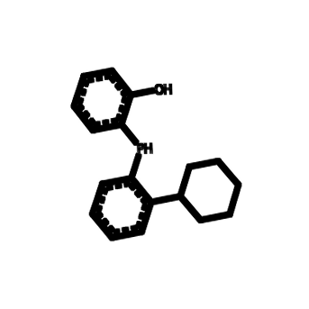 Oc1ccccc1Pc1ccccc1C1CCCCC1